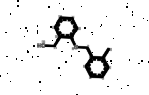 Cc1ccccc1COc1ccccc1CO